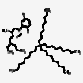 CCCC(CC)CCC(C)C[PH+](CF)c1cc(F)ccc1F.CCCCCCCCC[B-](CCCCCCCCC)(CCCCCCCCC)CCCCCCCCC